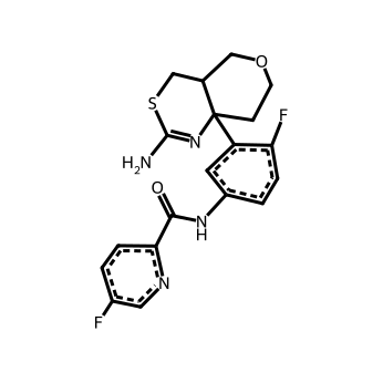 NC1=NC2(c3cc(NC(=O)c4ccc(F)cn4)ccc3F)CCOCC2CS1